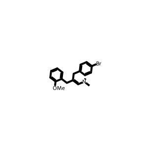 COc1ccccc1C/C(=C/N(C)C)Cc1ccc(Br)cc1